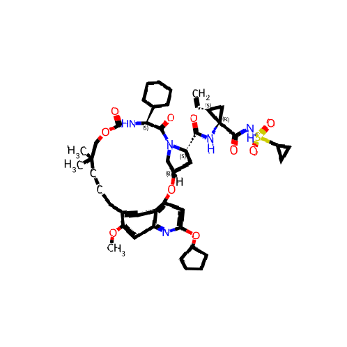 C=C[C@@H]1C[C@]1(NC(=O)[C@@H]1C[C@@H]2CN1C(=O)[C@H](C1CCCCC1)NC(=O)OCC(C)(C)CCCc1cc3c(cc(OC4CCCC4)nc3cc1OC)O2)C(=O)NS(=O)(=O)C1CC1